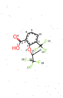 CC(Oc1c(C(=O)O)cccc1C(F)(F)F)C(F)(F)F